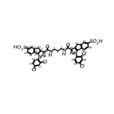 O=C(NCCCNC(=O)c1nn(-c2ccc(Cl)cc2Cl)c2c1Cc1cc(S(=O)(=O)O)ccc1-2)c1nn(-c2ccc(Cl)cc2Cl)c2c1Cc1cc(S(=O)(=O)O)ccc1-2